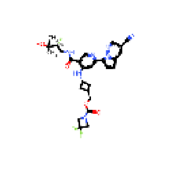 CC(C)(O)[C@H](F)CNC(=O)c1cnc(-c2ccc3cc(C#N)cnn23)cc1N[C@H]1C[C@H](COC(=O)N2CC(F)(F)C2)C1